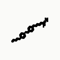 CCCCC[C@H]1CC[C@H](CCC2CCC(CCC=CC=C(F)C#N)CC2)CC1